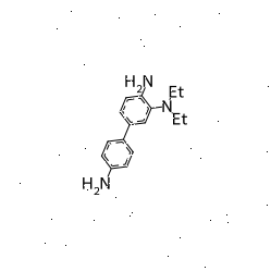 CCN(CC)c1cc(-c2ccc(N)cc2)ccc1N